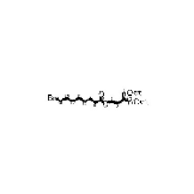 CCCCCCCCC(CCCCCCCC)CCOC(=O)CCCCCCCBr